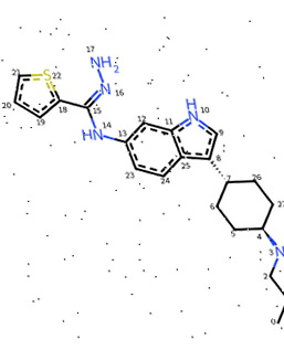 CCCN[C@H]1CC[C@H](c2c[nH]c3cc(NC(=NN)c4cccs4)ccc32)CC1